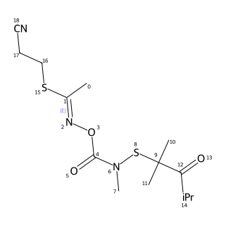 C/C(=N\OC(=O)N(C)SC(C)(C)C(=O)C(C)C)SCCC#N